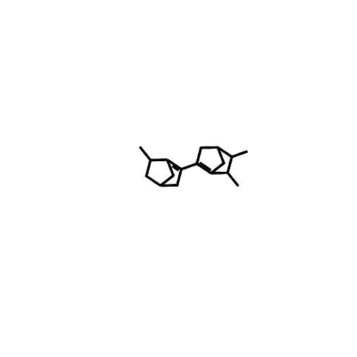 CC1CC2CC(C3=C4CC(C3)C(C)C4C)=C1C2